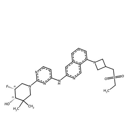 CCS(=O)(=O)CC1CN(c2cccc3cc(Nc4ccnc(N5C[C@@H](F)[C@@H](O)C(C)(C)C5)n4)ncc23)C1